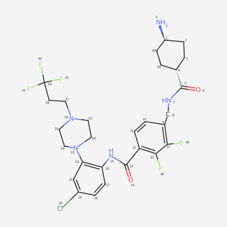 N[C@H]1CC[C@H](C(=O)NCc2ccc(C(=O)Nc3ccc(Cl)cc3N3CCN(CCC(F)(F)F)CC3)c(F)c2F)CC1